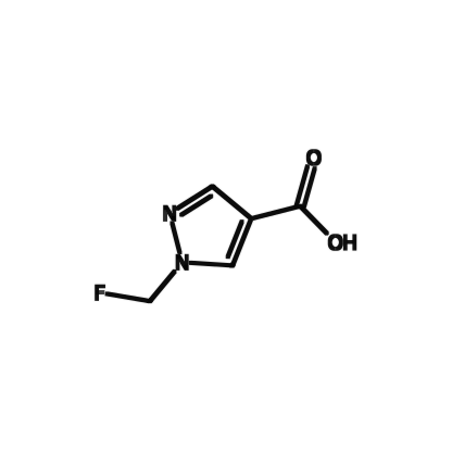 O=C(O)c1cnn(CF)c1